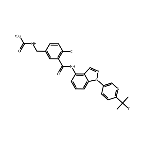 CC(C)(C)C(=O)NCc1ccc(Cl)c(C(=O)Nc2cccc3c2cnn3-c2ccc(C(C)(C)F)nc2)c1